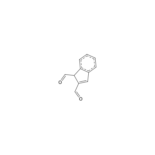 O=CC1=Cc2ccccc2C1C=O